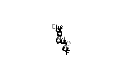 CCN1Cc2cc(N3CCCc4cc(C(=O)N5CCCC(C)(F)C5)cnc43)ccc2C1=O